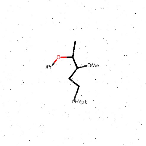 [CH2]C(OC(C)C)C(CCCCCCCCC)OC